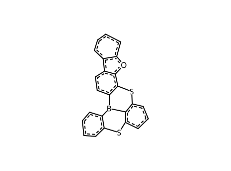 c1ccc2c(c1)Sc1cccc3c1B2c1ccc2c(oc4ccccc42)c1S3